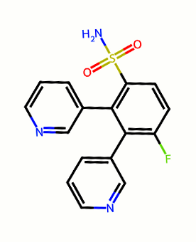 NS(=O)(=O)c1ccc(F)c(-c2cccnc2)c1-c1cccnc1